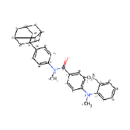 CN(C(=O)c1ccc(N(C)c2ccccc2C(=O)O)cc1)c1ccc(C23CC4CC(CC(C4)C2)C3)cc1